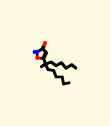 CCCCCCC(C)(CCCCCC)c1cc(=O)[nH]o1